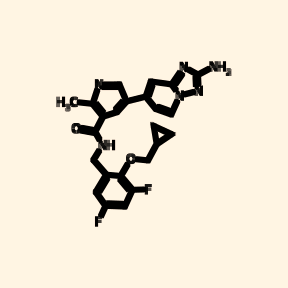 Cc1ncc(-c2ccn3nc(N)nc3c2)cc1C(=O)NCc1cc(F)cc(F)c1OCC1CC1